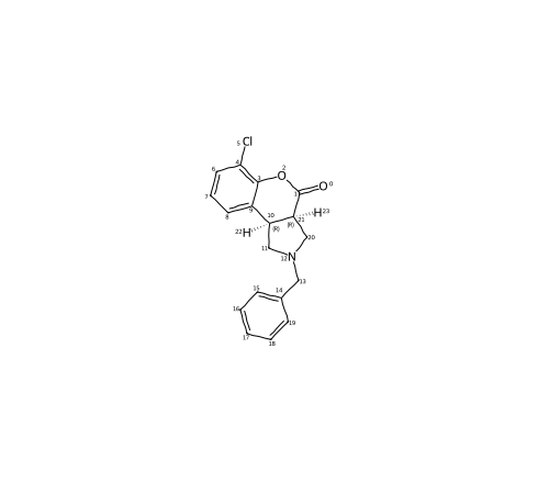 O=C1Oc2c(Cl)cccc2[C@@H]2CN(Cc3ccccc3)C[C@H]12